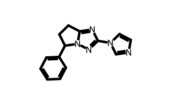 c1ccc(C2CCc3nc(-n4ccnc4)nn32)cc1